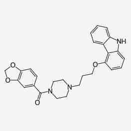 O=C(c1ccc2c(c1)OCO2)N1CCN(CCCOc2cccc3[nH]c4ccccc4c23)CC1